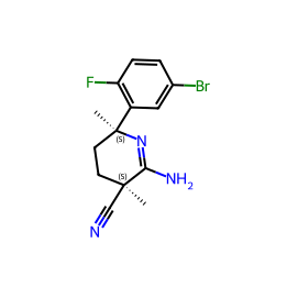 C[C@]1(C#N)CC[C@@](C)(c2cc(Br)ccc2F)N=C1N